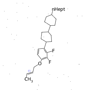 C/C=C/COc1ccc(C2CCC(C3CCC(CCCCCCC)CC3)CC2)c(F)c1F